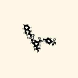 CS(=O)(=O)c1ccc(CNC(=O)c2cc(C(F)(F)F)cc3nc(NC(=O)c4cc5ccccc5cn4)[nH]c23)cc1